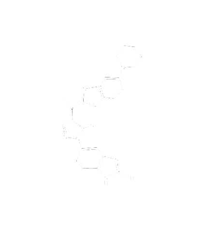 Cc1nc2cc(-n3ncc(C(=O)c4cc5ccc(N6CCOCC6)cc5[nH]4)c3N)ccc2[nH]1